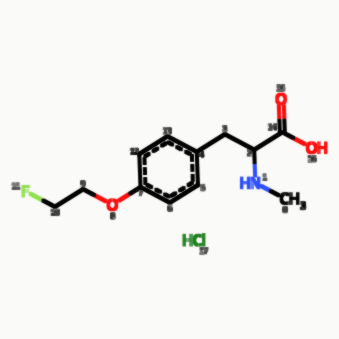 CNC(Cc1ccc(OCCF)cc1)C(=O)O.Cl